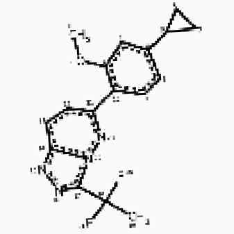 COc1cc(C2CC2)ccc1-c1ccc2nnc(C(C)(F)F)n2n1